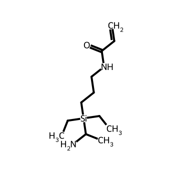 C=CC(=O)NCCC[Si](CC)(CC)C(C)N